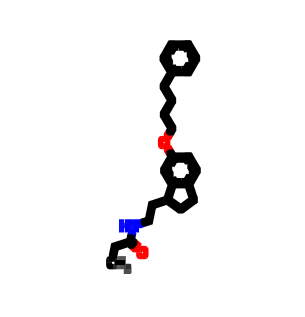 CCC(=O)NCCC1CCc2ccc(OCCCCc3ccccc3)cc21